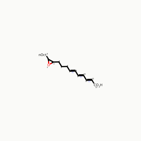 CCCCCCCCC1OC1CCC/C=C/C=C/C=C/C(=O)O